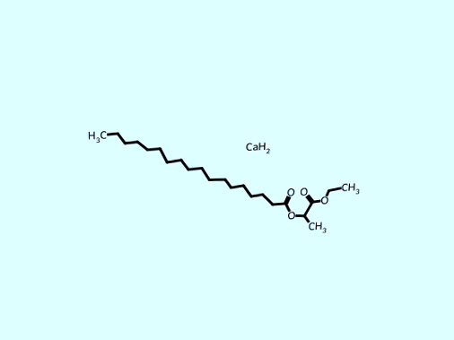 CCCCCCCCCCCCCCCCCC(=O)OC(C)C(=O)OCC.[CaH2]